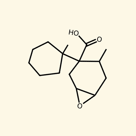 CC1CC2OC2CC1(C(=O)O)C1(C)CCCCC1